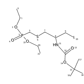 CCOP(=O)(CSCC(CI)NC(=O)OC(C)(C)C)OCC